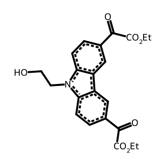 CCOC(=O)C(=O)c1ccc2c(c1)c1cc(C(=O)C(=O)OCC)ccc1n2CCO